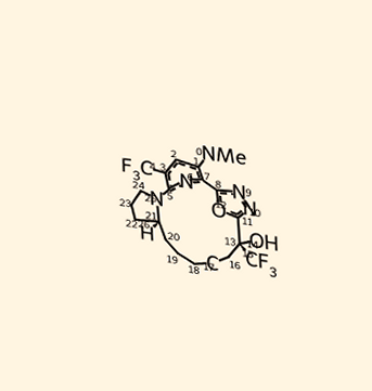 CNc1cc(C(F)(F)F)c2nc1-c1nnc(o1)[C@@](O)(C(F)(F)F)CCCCC[C@@H]1CCCN21